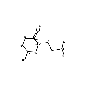 CC(C)CCN1CC(C)CCC1=O